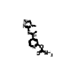 C[C@H](Sc1nncn1C)c1ccnc(OC(N)=O)c1